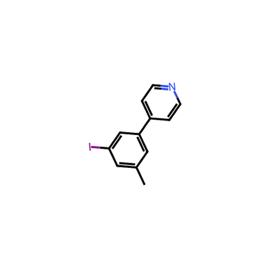 Cc1cc(I)cc(-c2ccncc2)c1